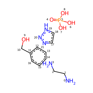 NCCN.O=P(O)(O)O.OCc1ccccc1.c1c[nH]nn1